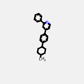 CC1CCC(c2ccc(-c3ccnc(-c4ccccc4)c3)cc2)CC1